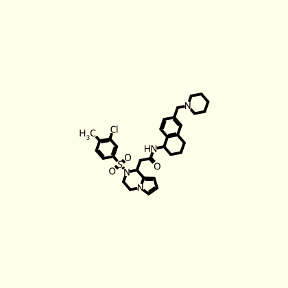 Cc1ccc(S(=O)(=O)N2CCn3cccc3C2CC(=O)NC2CCCc3cc(CN4CCCCC4)ccc32)cc1Cl